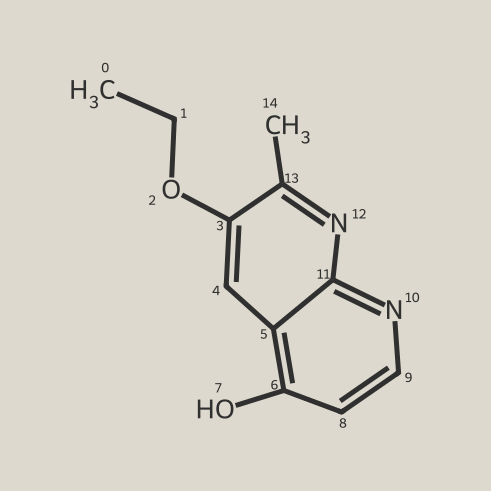 CCOc1cc2c(O)ccnc2nc1C